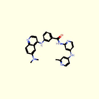 Cc1cc(Nc2ccnc(NC(=O)c3cccc(Nc4ccnc5ccc(N(C)C)cc45)c3)c2)ccn1